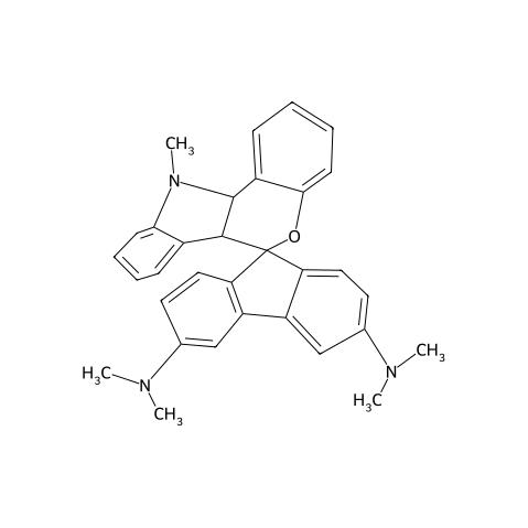 CN(C)c1ccc2c(c1)-c1cc(N(C)C)ccc1C21Oc2ccccc2C2C1c1ccccc1N2C